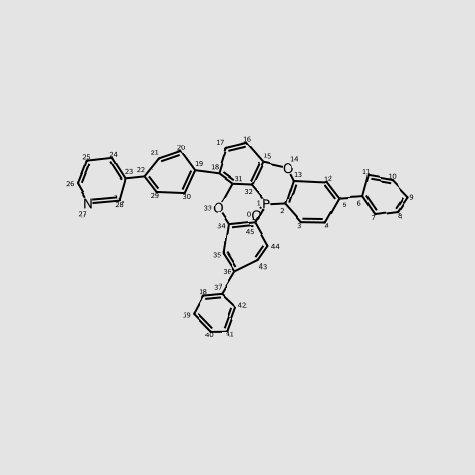 O=P12c3ccc(-c4ccccc4)cc3Oc3ccc(-c4ccc(-c5cccnc5)cc4)c(c31)Oc1cc(-c3ccccc3)ccc12